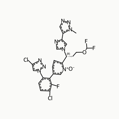 Cn1nncc1-c1cn([C@H](CCOC(F)F)c2ccc(-c3c(-n4cc(Cl)nn4)ccc(Cl)c3F)c[n+]2[O-])cn1